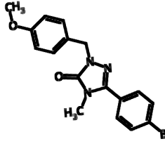 COc1ccc(Cn2nc(-c3ccc(Br)cc3)n(C)c2=O)cc1